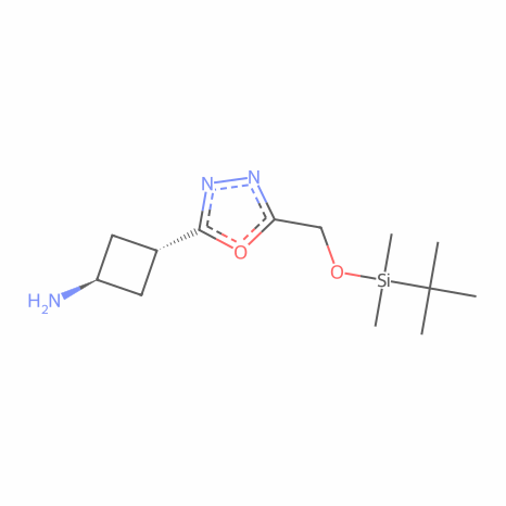 CC(C)(C)[Si](C)(C)OCc1nnc([C@H]2C[C@H](N)C2)o1